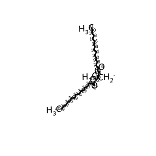 [CH2]C([CH2])(COC(=O)CCCCCCCCCCCCCCC)COC(=O)CCCCCCCCCCCCCCC